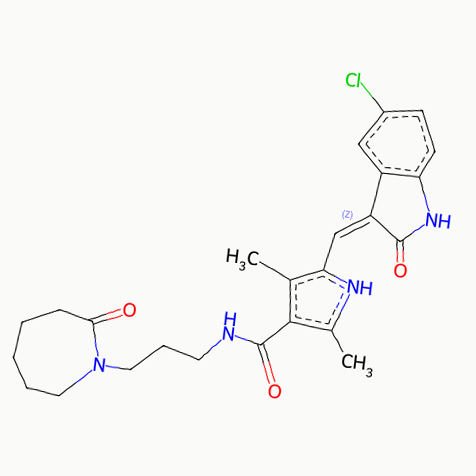 Cc1[nH]c(/C=C2\C(=O)Nc3ccc(Cl)cc32)c(C)c1C(=O)NCCCN1CCCCCC1=O